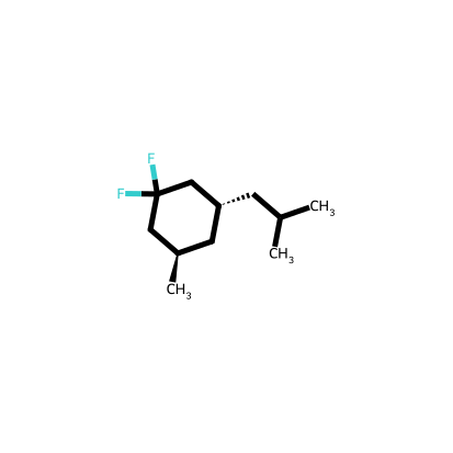 CC(C)C[C@@H]1C[C@@H](C)CC(F)(F)C1